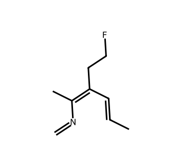 C=N/C(C)=C(\C=C\C)CCF